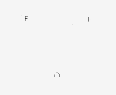 CCCC1=CC(F)CC(F)=C1